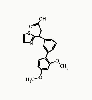 COc1ccc(-c2cccc(C(CC(=O)O)c3nccs3)c2)c(OC)c1